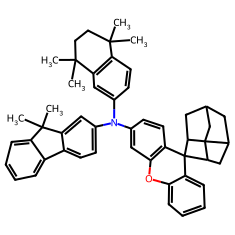 CC1(C)CCC(C)(C)c2cc(N(c3ccc4c(c3)Oc3ccccc3C43C4CC5CC6CC3C64C5)c3ccc4c(c3)C(C)(C)c3ccccc3-4)ccc21